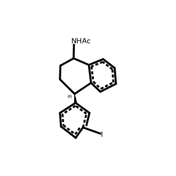 CC(=O)NC1CC[C@H](c2cccc(I)c2)c2ccccc21